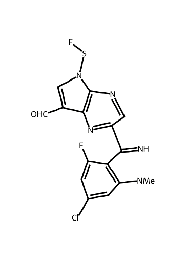 CNc1cc(Cl)cc(F)c1C(=N)c1cnc2c(n1)c(C=O)cn2SF